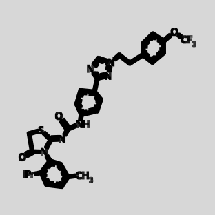 Cc1ccc(C(C)C)c(N2C(=O)CS/C2=N\C(=O)Nc2ccc(-c3ncn(CCc4ccc(OC(F)(F)F)cc4)n3)cc2)c1